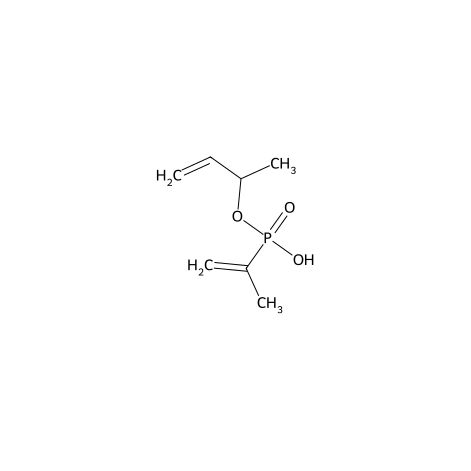 C=CC(C)OP(=O)(O)C(=C)C